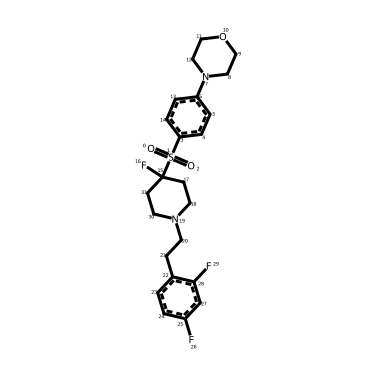 O=S(=O)(c1ccc(N2CCOCC2)cc1)C1(F)CCN(CCc2ccc(F)cc2F)CC1